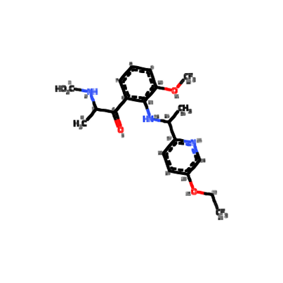 CC(NC(=O)O)C(=O)c1cccc(OC(F)(F)F)c1NC(C)c1ccc(OCC(F)(F)F)cn1